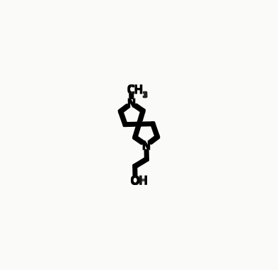 CN1CCC2(CCN(CCO)C2)C1